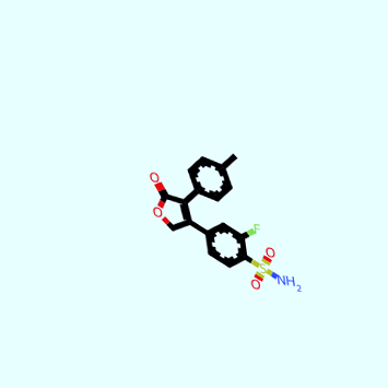 Cc1ccc(C2=C(c3ccc(S(N)(=O)=O)c(F)c3)COC2=O)cc1